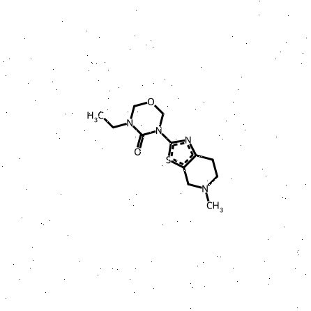 CCN1COCN(c2nc3c(s2)CN(C)CC3)C1=O